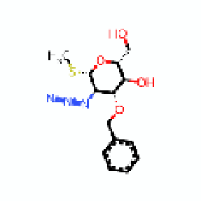 CS[C@@H]1O[C@H](CO)[C@@H](O)[C@H](OCc2ccccc2)[C@H]1N=[N+]=[N-]